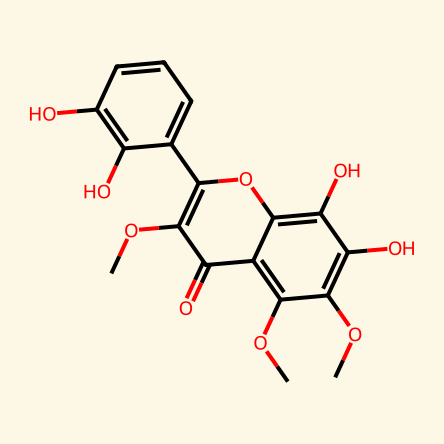 COc1c(O)c(O)c2oc(-c3cccc(O)c3O)c(OC)c(=O)c2c1OC